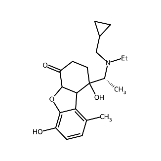 CCN(CC1CC1)[C@H](C)C1(O)CCC(=O)C2Oc3c(O)ccc(C)c3C21